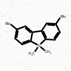 CC(C)(C)c1ccc2c(c1)-c1cc(C(C)(C)C)ccc1[Si]2(C)C